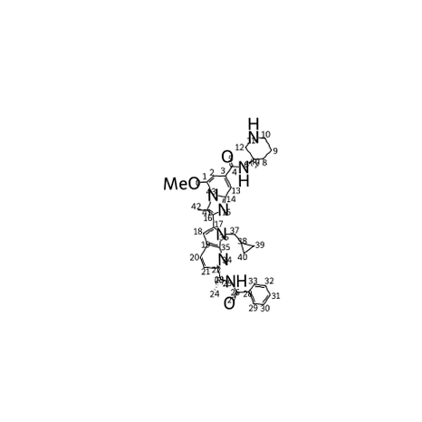 COc1cc(C(=O)N[C@@H]2CCCNC2)cc2nc(-c3cc4ccc([C@@H](C)NC(=O)c5ccccc5)nc4n3CC3CC3)c(C)n12